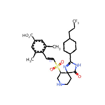 Cc1cc(C(=O)O)cc(C)c1/C=C/S(=O)(=O)C1CNCCC12N=C(C1CCC(CCC(F)(F)F)CC1)NC2=O